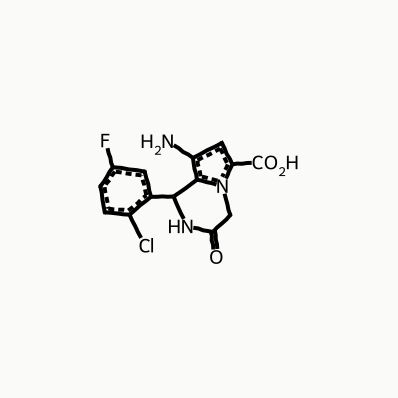 Nc1cc(C(=O)O)n2c1C(c1cc(F)ccc1Cl)NC(=O)C2